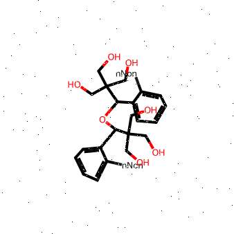 CCCCCCCCCc1ccccc1C(OC(c1ccccc1CCCCCCCCC)C(CO)(CO)CO)C(CO)(CO)CO